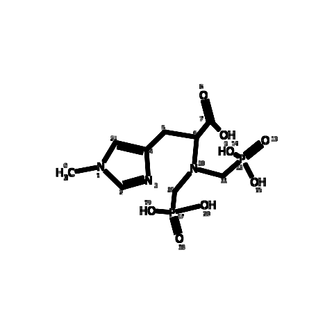 Cn1cnc(CC(C(=O)O)N(CP(=O)(O)O)CP(=O)(O)O)c1